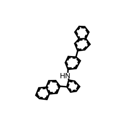 c1ccc(-c2ccc3ccccc3c2)c(Nc2ccc(-c3ccc4ccccc4c3)cc2)c1